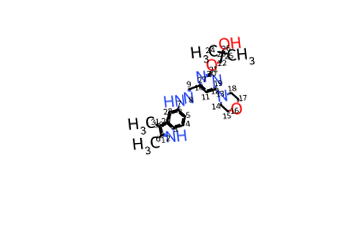 Cc1[nH]c2ccc(NN=Cc3cc(N4CCOCC4)nc(OCC(C)(C)O)n3)cc2c1C